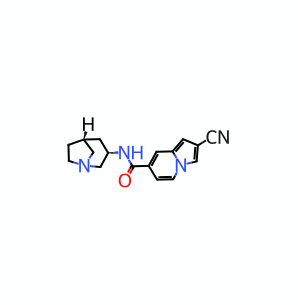 N#Cc1cc2cc(C(=O)N[C@@H]3C[C@H]4CCN(C4)C3)ccn2c1